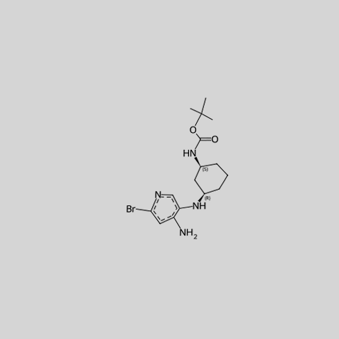 CC(C)(C)OC(=O)N[C@H]1CCC[C@@H](Nc2cnc(Br)cc2N)C1